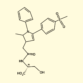 CC1C(CC(=O)N[C@H](CO)C(=O)O)C=C(c2ccc(S(C)(=O)=O)cc2)N1c1ccccc1